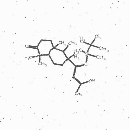 CC(O)CC(O[Si](C)(C)C(C)(C)C)C1(C)CCC2C(C)(C)C(=O)CCC2(C)C1C